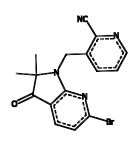 CC1(C)C(=O)c2ccc(Br)nc2N1Cc1cccnc1C#N